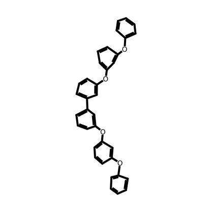 c1ccc(Oc2cccc(Oc3cccc(-c4cccc(Oc5cccc(Oc6ccccc6)c5)c4)c3)c2)cc1